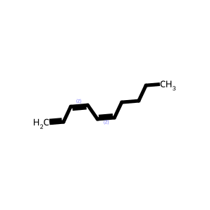 C=C/C=C\C=C/CCCC